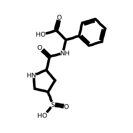 O=C(NC(C(=O)O)c1ccccc1)C1CC(S(=O)O)CN1